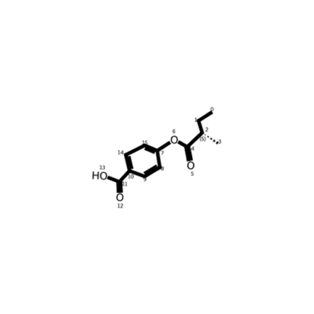 CC[C@H](C)C(=O)Oc1ccc(C(=O)O)cc1